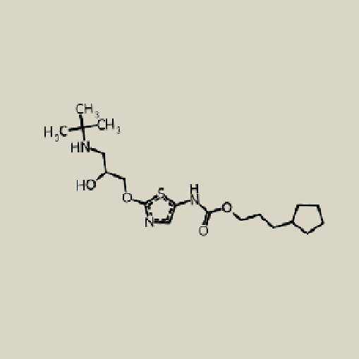 CC(C)(C)NCC(O)COc1ncc(NC(=O)OCCCC2CCCC2)s1